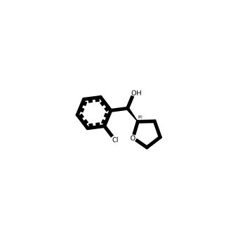 OC(c1ccccc1Cl)[C@H]1CCCO1